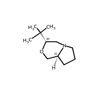 CC(C)(C)[C@@H]1CN2CCC[C@H]2CO1